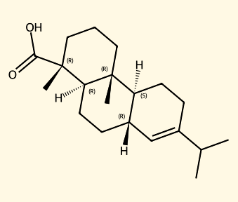 CC(C)C1=C[C@@H]2CC[C@@H]3[C@](C)(CCC[C@@]3(C)C(=O)O)[C@H]2CC1